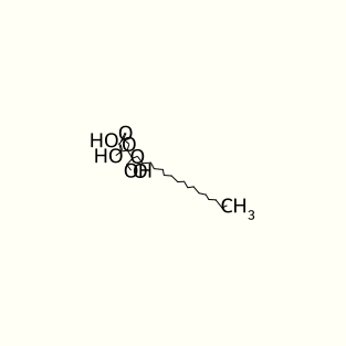 CCCCCCCCCCCCCCCC(=O)OC(CO)C1OC(=O)C(O)=C1O